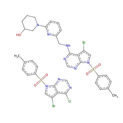 Cc1ccc(S(=O)(=O)n2cc(Br)c3c(Cl)ncnc32)cc1.Cc1ccc(S(=O)(=O)n2cc(Br)c3c(NCc4cccc(N5CCCC(O)C5)n4)ncnc32)cc1